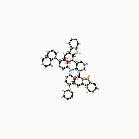 c1ccc(-c2ccc(N(c3ccc(-c4cccc5ccccc45)cc3)c3c(-c4cccc5c4sc4ccccc45)cccc3-c3cccc4c3sc3ccccc34)cc2)cc1